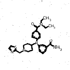 CCN(CC)C(=O)c1ccc(N(c2cccc(C(N)=O)c2)C2CCN(Cc3nccs3)CC2)cc1